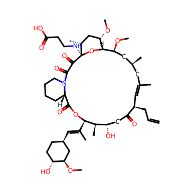 C=CC[C@@H]1/C=C(\C)C[C@H](C)C[C@H](OC)[C@H]2O[C@@](NCCC(=O)O)(C(=O)C(=O)N3CCCC[C@H]3C(=O)O[C@H](/C(C)=C/[C@@H]3CC[C@@H](O)[C@H](OC)C3)[C@H](C)[C@@H](O)CC1=O)[C@H](C)C[C@@H]2OC